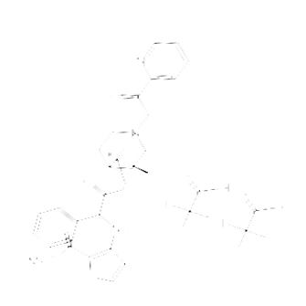 COC(=O)c1sccc1NC(C(=O)O[C@H]1C[N+]2(CC(=O)c3ccccn3)CCC1CC2)c1ccccc1.O=C(O)C(F)(F)F.O=C([O-])C(F)(F)F